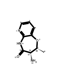 C[C@H]1Oc2cccnc2NC(=O)[C@H]1N